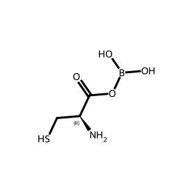 N[C@@H](CS)C(=O)OB(O)O